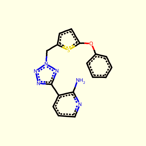 Nc1ncccc1-c1nnn(Cc2ccc(Oc3ccccc3)s2)n1